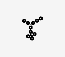 c1ccc(-c2ccc(-c3ccc(N(c4ccc(-c5ccccc5)cc4)c4ccc(-c5ccc(-c6cc7ccccc7c7ccccc67)c(-c6ccccc6)c5)cc4)cc3)cc2)cc1